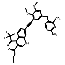 CCOC(=O)C1=CNc2cc(C#Cc3cc(Cc4cnc(N)nc4N)cc(OC)c3OC)ccc2C1C(=O)C(F)(F)F